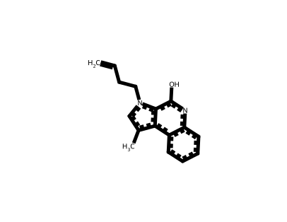 C=CCCn1cc(C)c2c3ccccc3nc(O)c21